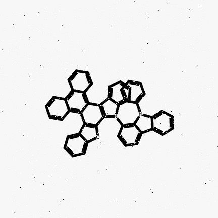 c1ccc(-n2c3ccccc3c3cccc(-n4c5ccccc5c5c6c7ccccc7c7ccccc7c6c6c7ccccc7oc6c54)c32)cc1